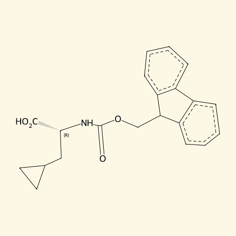 O=C(N[C@H](CC1CC1)C(=O)O)OCC1c2ccccc2-c2ccccc21